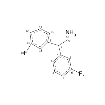 CC(c1cccc(F)c1)c1cccc(F)c1.N